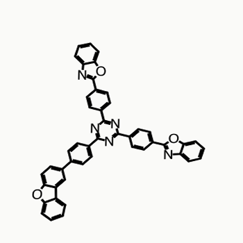 c1ccc2oc(-c3ccc(-c4nc(-c5ccc(-c6ccc7oc8ccccc8c7c6)cc5)nc(-c5ccc(-c6nc7ccccc7o6)cc5)n4)cc3)nc2c1